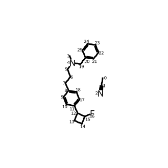 CC#N.CN(CCCc1ccc(C2CCC2F)cc1)Cc1ccccc1